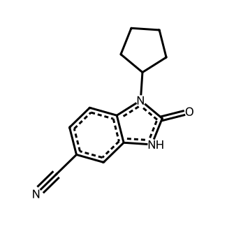 N#Cc1ccc2c(c1)[nH]c(=O)n2C1CCCC1